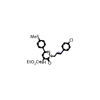 CCOC(=O)Nc1cc(-c2ccc(SC)cc2)nn(C/C=C/c2ccc(Cl)cc2)c1=O